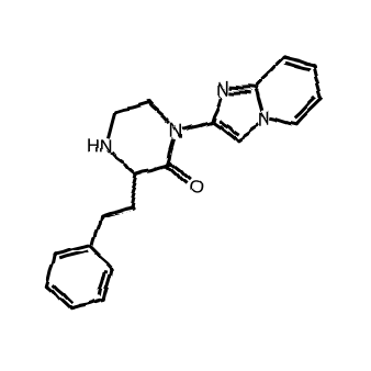 O=C1C(CCc2ccccc2)NCCN1c1cn2ccccc2n1